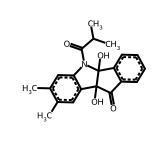 Cc1cc2c(cc1C)C1(O)C(=O)c3ccccc3C1(O)N2C(=O)C(C)C